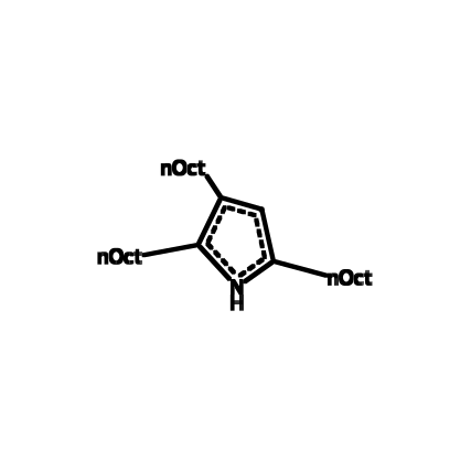 CCCCCCCCc1cc(CCCCCCCC)c(CCCCCCCC)[nH]1